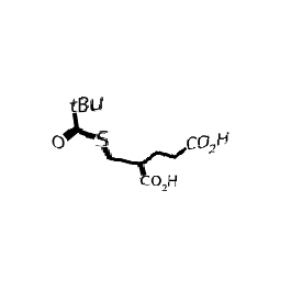 CC(C)(C)C(=O)SCC(CCC(=O)O)C(=O)O